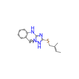 C/C=C(\C)CSc1nc(Nc2ccccc2C(C)C)n[nH]1